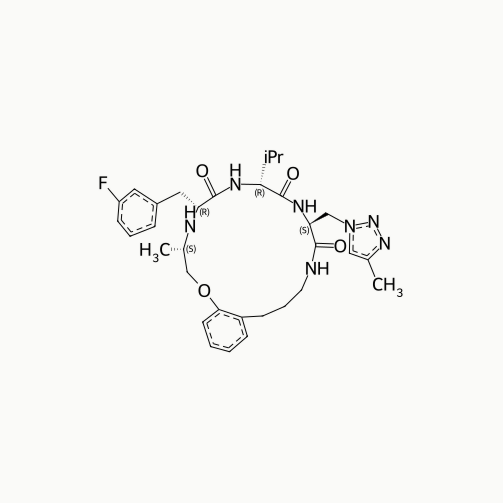 Cc1cn(C[C@@H]2NC(=O)[C@@H](C(C)C)NC(=O)[C@@H](Cc3cccc(F)c3)N[C@@H](C)COc3ccccc3CCCNC2=O)nn1